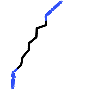 [N-]=[N+]=NCCCCCCCN=[N+]=[N-]